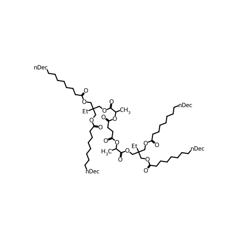 CCCCCCCCCCCCCCCCCC(=O)OCC(CC)(COC(=O)CCCCCCCCCCCCCCCCC)COC(=O)C(C)OC(=O)CCC(=O)OC(C)C(=O)OCC(CC)(COC(=O)CCCCCCCCCCCCCCCCC)COC(=O)CCCCCCCCCCCCCCCCC